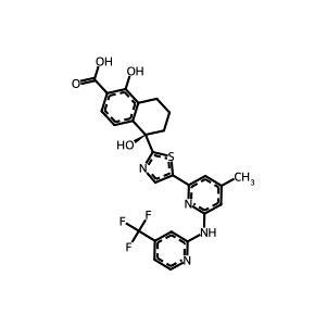 Cc1cc(Nc2cc(C(F)(F)F)ccn2)nc(-c2cnc([C@@]3(O)CCCc4c3ccc(C(=O)O)c4O)s2)c1